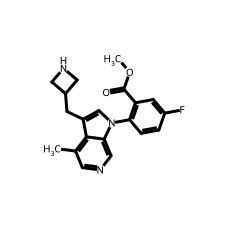 COC(=O)c1cc(F)ccc1-n1cc(CC2CNC2)c2c(C)cncc21